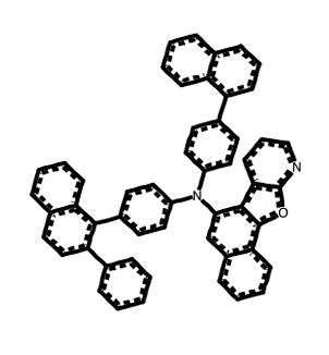 c1ccc(-c2ccc3ccccc3c2-c2ccc(N(c3ccc(-c4cccc5ccccc45)cc3)c3cc4ccccc4c4oc5ncccc5c34)cc2)cc1